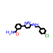 NC(=O)c1cccc(-c2ccc(NCCc3ccc(Cl)cc3)nn2)c1